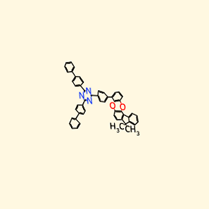 CC1(C)c2ccccc2-c2c1ccc1c2Oc2cccc(-c3ccc(-c4nc(-c5ccc(-c6ccccc6)cc5)nc(-c5ccc(-c6ccccc6)cc5)n4)cc3)c2O1